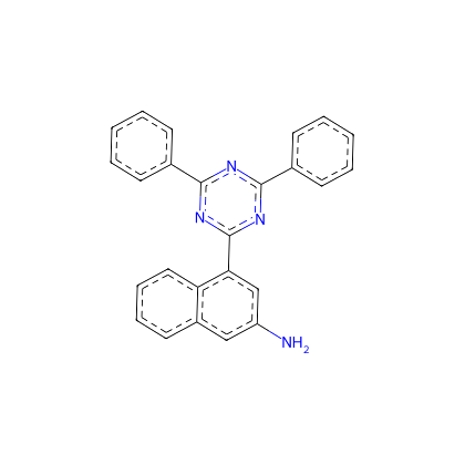 Nc1cc(-c2nc(-c3ccccc3)nc(-c3ccccc3)n2)c2ccccc2c1